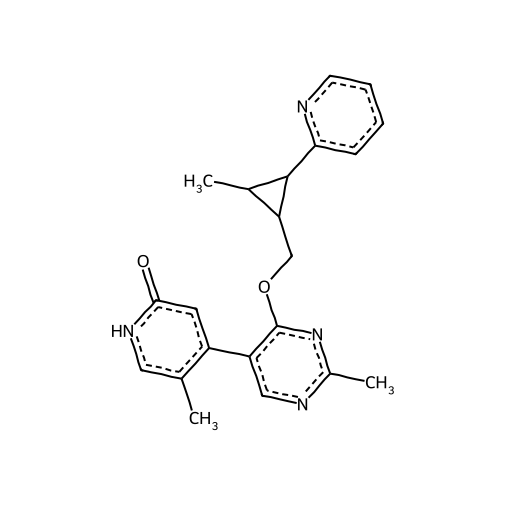 Cc1ncc(-c2cc(=O)[nH]cc2C)c(OCC2C(C)C2c2ccccn2)n1